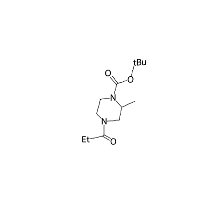 CCC(=O)N1CCN(C(=O)OC(C)(C)C)C(C)C1